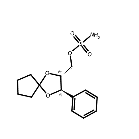 NS(=O)(=O)OC[C@H]1OC2(CCCC2)O[C@@H]1c1ccccc1